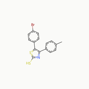 Cc1ccc(-c2nc(S)sc2-c2ccc(Br)cc2)cc1